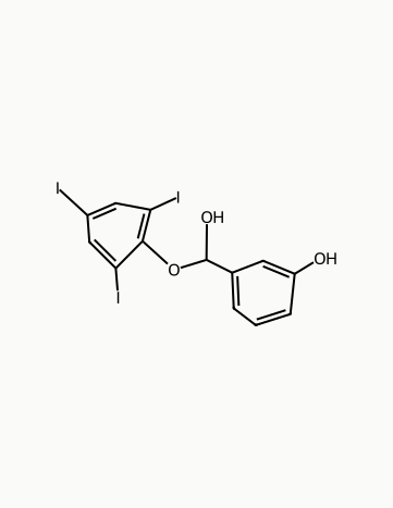 Oc1cccc(C(O)Oc2c(I)cc(I)cc2I)c1